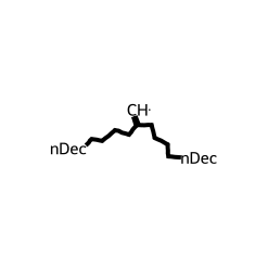 [CH]=C(CCCCCCCCCCCCCC)CCCCCCCCCCCCCC